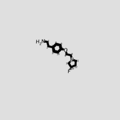 NCCc1ccc(OCCN2CC[C@H](F)C2)cc1